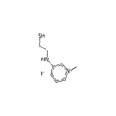 C[n+]1cccc(NCCS)c1.[I-]